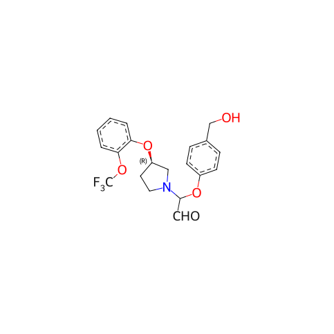 O=CC(Oc1ccc(CO)cc1)N1CC[C@@H](Oc2ccccc2OC(F)(F)F)C1